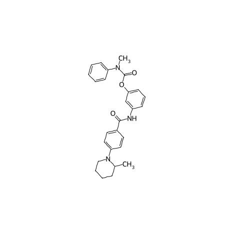 CC1CCCCN1c1ccc(C(=O)Nc2cccc(OC(=O)N(C)c3ccccc3)c2)cc1